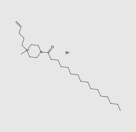 C=CCCC[N+]1(C)CCN(C(=O)CCCCCCCCCCCCCCC)CC1.[Br-]